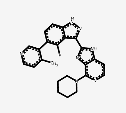 Cc1ccncc1-c1ccc2[nH]nc(-c3nc4c(N5CCCCC5)nccc4[nH]3)c2c1F